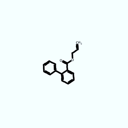 C=CCOC(=O)c1ccccc1-c1ccccc1